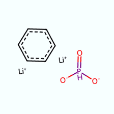 O=[PH]([O-])[O-].[Li+].[Li+].c1ccccc1